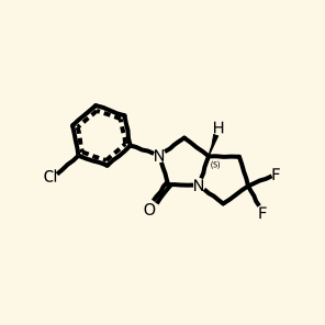 O=C1N(c2cccc(Cl)c2)C[C@@H]2CC(F)(F)CN12